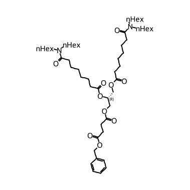 CCCCCCN(CCCCCC)C(=O)CCCCCCC(=O)OC[C@H](COC(=O)CCC(=O)OCc1ccccc1)OC(=O)CCCCCCC(=O)N(CCCCCC)CCCCCC